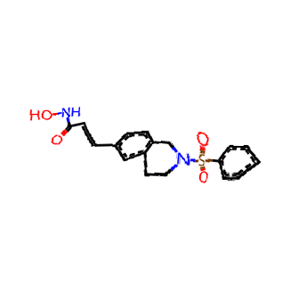 O=C(C=Cc1ccc2c(c1)CCN(S(=O)(=O)c1ccccc1)C2)NO